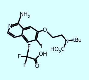 CC(C)(C)N(CCOc1cc2c(N)nccc2cc1I)C(=O)O.O=C(O)C(F)(F)F